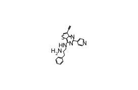 C#Cc1csc2c(NC[C@@H](N)Cc3ccccc3)nc(-c3ccncc3)nc12